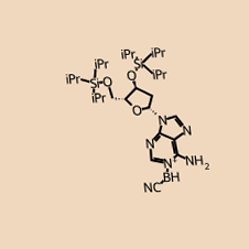 CC(C)[Si](OC[C@H]1O[C@@H](n2cnc3c(N)[n+](BC#N)cnc32)C[C@@H]1O[Si](C(C)C)(C(C)C)C(C)C)(C(C)C)C(C)C